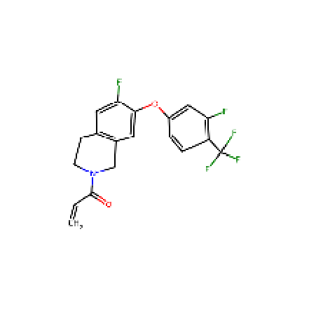 C=CC(=O)N1CCc2cc(F)c(Oc3ccc(C(F)(F)F)c(F)c3)cc2C1